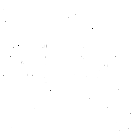 CC(NCCCCNC(C)C(=O)c1cnccc1C(N)=O)C(=O)c1cnccc1C(N)=O